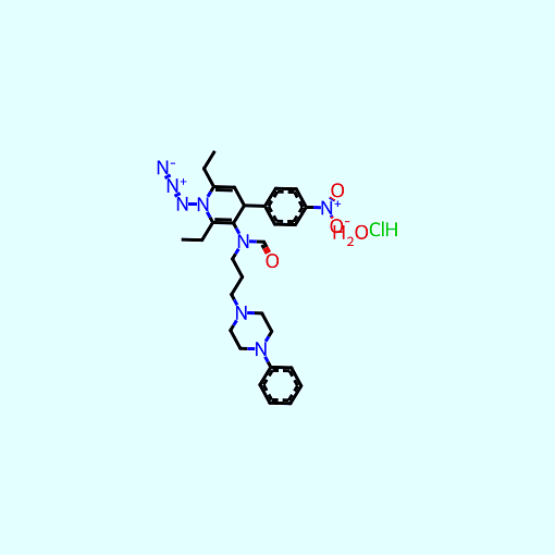 CCC1=CC(c2ccc([N+](=O)[O-])cc2)C(N(C=O)CCCN2CCN(c3ccccc3)CC2)=C(CC)N1N=[N+]=[N-].Cl.O